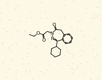 CCOC(=O)CN1N=C(C2CCCCC2)c2ccccc2CC1=O